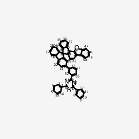 c1ccc(-c2nc(-c3ccccc3)nc(-c3cccc(-c4ccc5c(c4)C4(c6ccccc6-5)c5ccccc5-c5c4ccc4c5oc5ccccc54)c3)n2)cc1